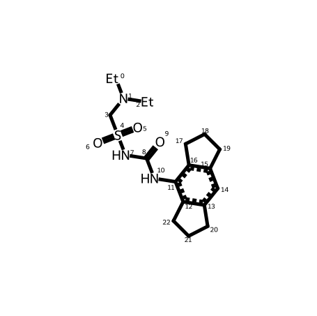 CCN(CC)CS(=O)(=O)NC(=O)Nc1c2c(cc3c1CCC3)CCC2